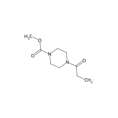 [CH2]CC(=O)N1CCN(C(=O)OC)CC1